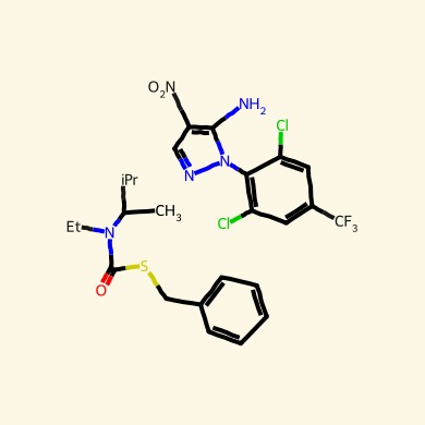 CCN(C(=O)SCc1ccccc1)C(C)C(C)C.Nc1c([N+](=O)[O-])cnn1-c1c(Cl)cc(C(F)(F)F)cc1Cl